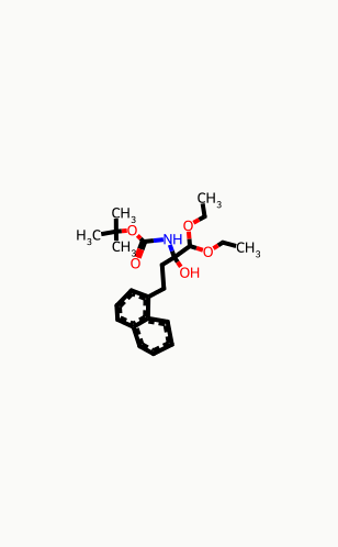 CCOC(OCC)C(O)(CCc1cccc2ccccc12)NC(=O)OC(C)(C)C